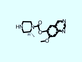 COc1cc2ncncc2cc1OC(=O)N1CCNC[C@H]1C